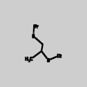 CCSC(C)CSC(C)C